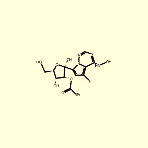 CC(C)C(=O)O[C@@H]1[C@H](O)[C@@H](CO)O[C@@]1(C#N)c1cc(F)c2c(NO)ncnn12